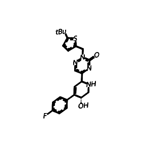 CC(C)(C)c1ccc(Cn2ncc(C3C=C(c4ccc(F)cc4)[C@@H](O)CN3)nc2=O)s1